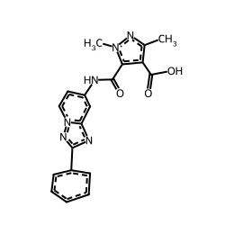 Cc1nn(C)c(C(=O)Nc2ccn3nc(-c4ccccc4)nc3c2)c1C(=O)O